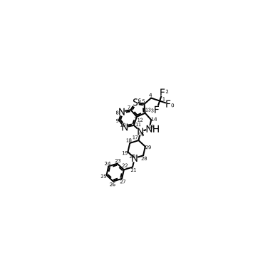 FC(F)(F)Cc1sc2ncnc3c2c1CNN3C1CCN(Cc2ccccc2)CC1